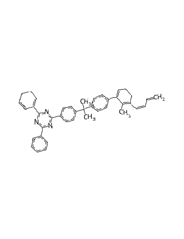 C=C/C=C\C1=C(C)C(c2ccc(C(C)(C)c3ccc(-c4nc(C5=CCCC=C5)nc(-c5ccccc5)n4)cc3)cc2)=CCC1